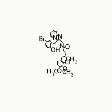 COc1ccc(CC(C)CCC(=O)[N]Cc2nc3ccccn3c2Cc2cc(Br)ccc2O)c(Cl)c1OC